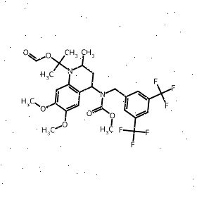 COC(=O)N(Cc1cc(C(F)(F)F)cc(C(F)(F)F)c1)C1CC(C)N(C(C)(C)OC=O)c2cc(OC)c(OC)cc21